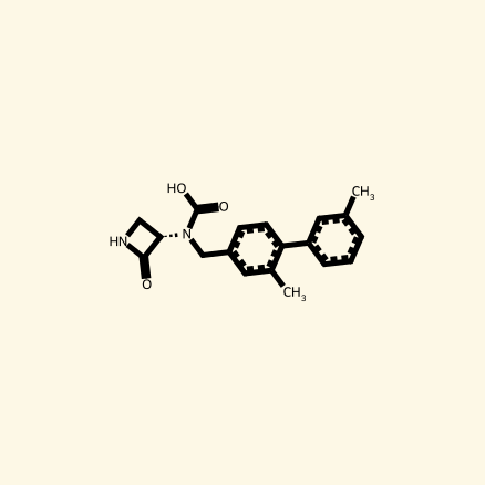 Cc1cccc(-c2ccc(CN(C(=O)O)[C@H]3CNC3=O)cc2C)c1